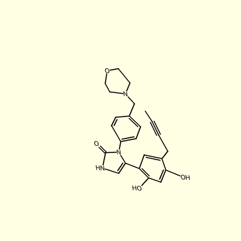 CC#CCc1cc(-c2c[nH]c(=O)n2-c2ccc(CN3CCOCC3)cc2)c(O)cc1O